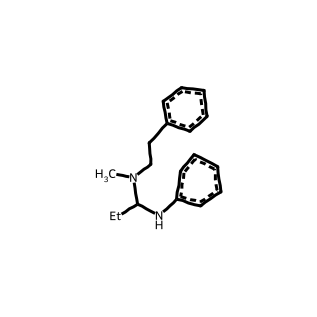 CCC(Nc1ccccc1)N(C)CCc1ccccc1